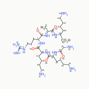 CC(NC(=O)C(CCCNC(=N)N)NC(=O)C(CCCCN)NC(=O)C(CCCCN)NC(=O)CN)C(=O)NC(CCCCN)C(=O)O